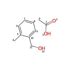 CC(=O)O.Cc1ccccc1CO